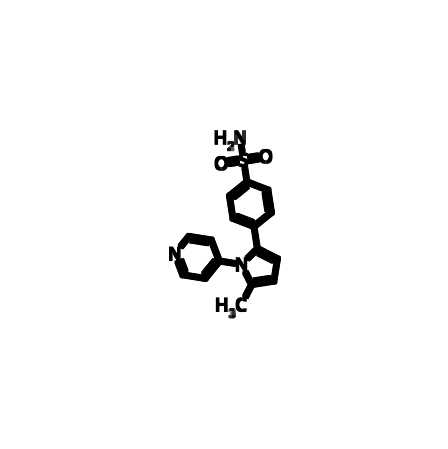 Cc1ccc(-c2ccc(S(N)(=O)=O)cc2)n1-c1ccncc1